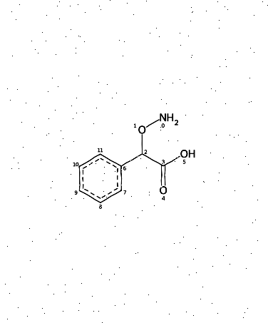 NOC(C(=O)O)c1ccccc1